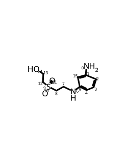 Nc1cccc(NCCS(=O)(=O)CCO)c1